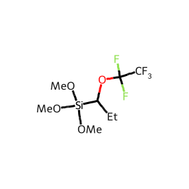 CCC(OC(F)(F)C(F)(F)F)[Si](OC)(OC)OC